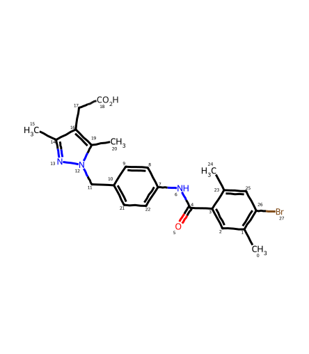 Cc1cc(C(=O)Nc2ccc(Cn3nc(C)c(CC(=O)O)c3C)cc2)c(C)cc1Br